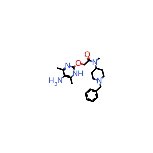 CC1=NC(OCC(=O)N(C)C2CCN(Cc3ccccc3)CC2)NC(C)=C1N